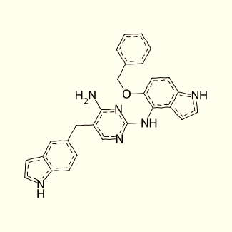 Nc1nc(Nc2c(OCc3ccccc3)ccc3[nH]ccc23)ncc1Cc1ccc2[nH]ccc2c1